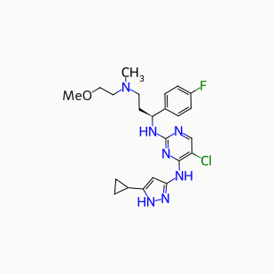 COCCN(C)CC[C@H](Nc1ncc(Cl)c(Nc2cc(C3CC3)[nH]n2)n1)c1ccc(F)cc1